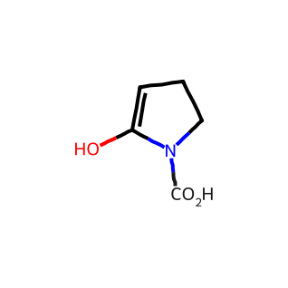 O=C(O)N1CCC=C1O